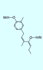 CC/C=C(OC#N)\C(C)=C/Cc1ccc(OC#N)c(C)c1